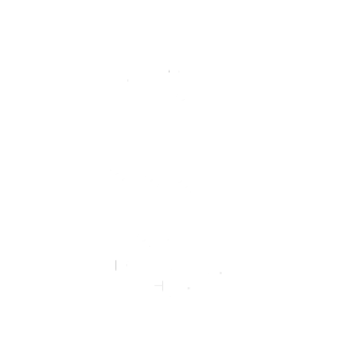 CC1(C)c2ccc(-c3c4ccccc4c(-c4ccc5oc6ccccc6c5c4)c4ccccc34)cc2-c2c1ccc1ccccc21